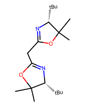 CC(C)(C)[C@H]1N=C(CC2=N[C@H](C(C)(C)C)C(C)(C)O2)OC1(C)C